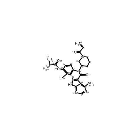 C=CC(=O)N1CCCC(N(C(=O)c2n[nH]c3ncnc(N)c23)c2ccc(OC(=O)N(C)C)c(Cl)c2)C1